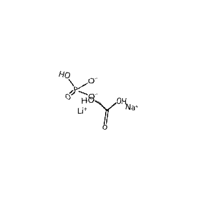 O=C(O)O.O=P([O-])([O-])O.[Li+].[Na+]